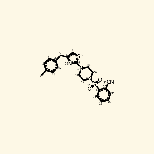 Cc1ccc(Cc2csc(N3CCN(S(=O)(=O)c4ccccc4C#N)CC3)n2)cc1